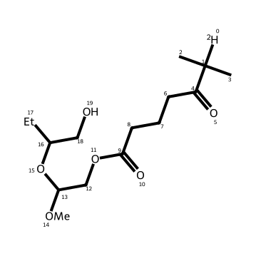 [2H]C(C)(C)C(=O)CCCC(=O)OCC(OC)OC(CC)CO